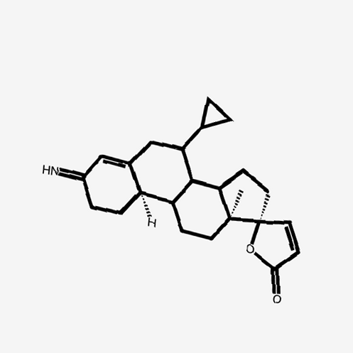 C[C@]12CCC3C(C(C4CC4)CC4=CC(=N)CC[C@@H]43)C1CC[C@@]21C=CC(=O)O1